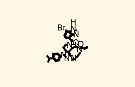 C=CC(=O)N1CCN(C)c2nn(-c3ccc(C(C)C)cc3)c3c2[C@H](C1)N(C(=O)c1ccc(Br)c2[nH]cnc12)CC3